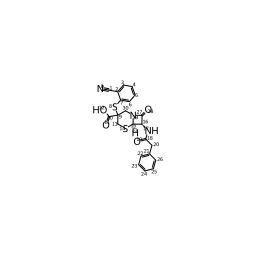 N#Cc1ccccc1SC1(C(=O)O)CS[C@@H]2[C@H](NC(=O)Cc3ccccc3)C(=O)N2C1